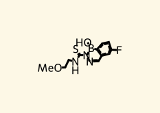 COCCNC(=S)N1N=Cc2cc(F)ccc2B1O